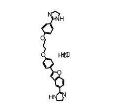 Cl.Cl.c1cc(C2=NCCN2)ccc1OCCCOc1ccc(-c2cc3cc(C4=NCCN4)ccc3o2)cc1